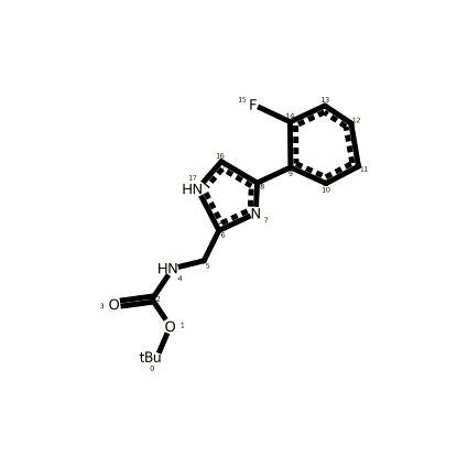 CC(C)(C)OC(=O)NCc1nc(-c2ccccc2F)c[nH]1